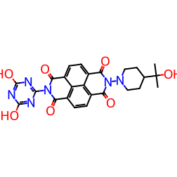 CC(C)(O)C1CCN(N2C(=O)c3ccc4c5c(ccc(c35)C2=O)C(=O)N(c2nc(O)nc(O)n2)C4=O)CC1